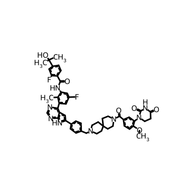 COc1ccc(C(=O)N2CCC3(CCN(Cc4ccc(-c5cc6c(-c7cc(F)cc(NC(=O)c8ccc(C(C)(C)O)cc8F)c7C)ncnc6[nH]5)cc4)CC3)CC2)cc1N1CCC(=O)NC1=O